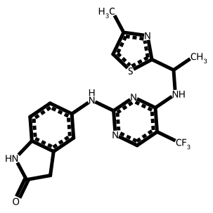 Cc1csc(C(C)Nc2nc(Nc3ccc4c(c3)CC(=O)N4)ncc2C(F)(F)F)n1